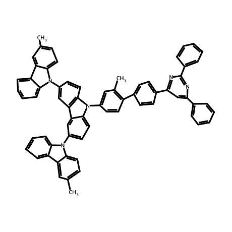 Cc1ccc2c(c1)c1ccccc1n2-c1ccc2c(c1)c1cc(-n3c4ccccc4c4cc(C)ccc43)ccc1n2-c1ccc(-c2ccc(-c3cc(-c4ccccc4)nc(-c4ccccc4)n3)cc2)c(C)c1